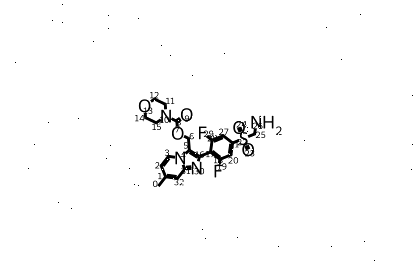 Cc1ccn2c(COC(=O)N3CCOCC3)c(-c3c(F)cc(S(=O)(=O)CN)cc3F)nc2c1